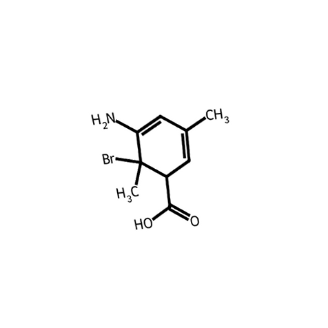 CC1=CC(C(=O)O)C(C)(Br)C(N)=C1